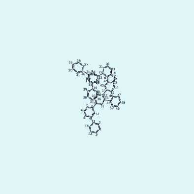 c1ccc(-c2cccc(-c3ccc(-c4ccc5sc6cccc(-c7nc(-c8ccccc8)nc(-c8ccccc8)n7)c6c5c4)c(-c4ccccc4)c3)c2)cc1